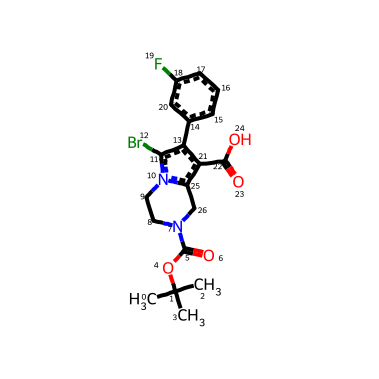 CC(C)(C)OC(=O)N1CCn2c(Br)c(-c3cccc(F)c3)c(C(=O)O)c2C1